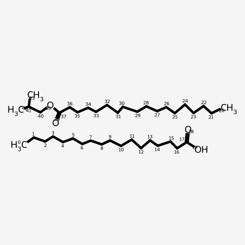 CCCCCCCCCCCCCCCCCC(=O)O.CCCCCCCCCCCCCCCCCC(=O)OCC(C)C